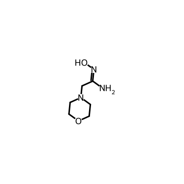 N/C(CN1CCOCC1)=N/O